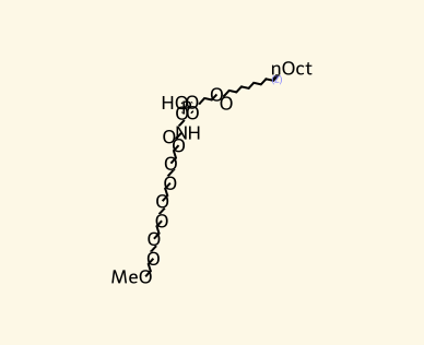 CCCCCCCC/C=C\CCCCCCCC(=O)OCCCOP(=O)(O)OCCNC(=O)OCCOCCOCCOCCOCCOCCOCCOC